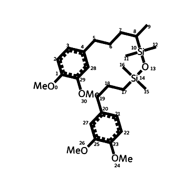 COc1ccc(CCCC(C)[Si](C)(C)O[Si](C)(C)CCCc2ccc(OC)c(OC)c2)cc1OC